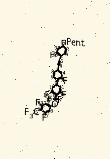 CCCCCc1ccc(C#Cc2ccc(-c3cc(F)c(C(F)(F)Oc4cc(F)c(C(F)(F)F)c(F)c4)c(F)c3)c(F)c2)c(F)c1